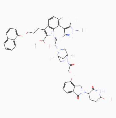 Cc1nn(C)c(C)c1-c1c(Cl)ccc2c(CCCOc3cccc4ccccc34)c(C(O)OC(C)(C)C)n(CCN3C[C@@H]4C[C@H]3CN4C(=O)COc3cccc4c3CN(C3CCC(O)NC3=O)C4=O)c12